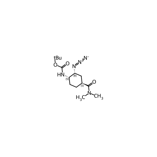 CN(C)C(=O)[C@H]1CC[C@H](NC(=O)OC(C)(C)C)[C@H](N=[N+]=[N-])C1